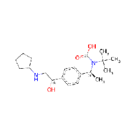 C[C@@H](c1ccc([C@H](O)CNC2CCCC2)cc1)N(C(=O)O)C(C)(C)C